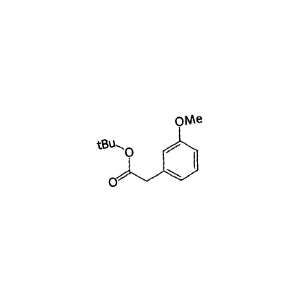 COc1cccc(CC(=O)OC(C)(C)C)c1